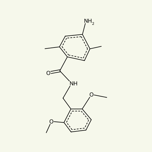 COc1cccc(OC)c1CNC(=O)c1cc(C)c(N)cc1C